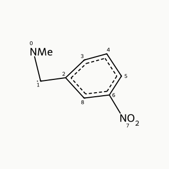 CN[CH]c1cccc([N+](=O)[O-])c1